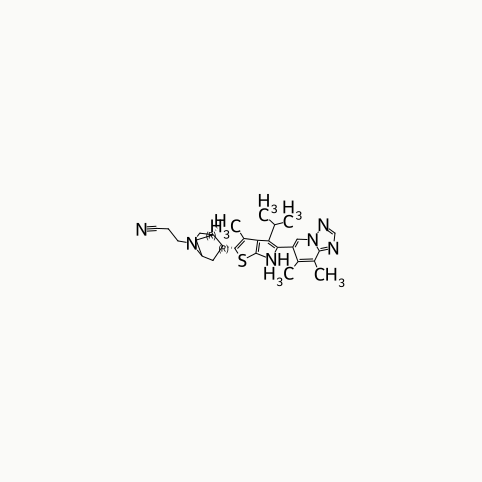 Cc1c(-c2[nH]c3sc([C@@H]4CC5C[C@H]4CN5CCC#N)c(C)c3c2C(C)C)cn2ncnc2c1C